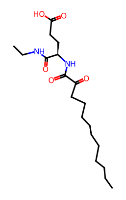 CCCCCCCCCCC(=O)C(=O)N[C@H](CCC(=O)O)C(=O)NCC